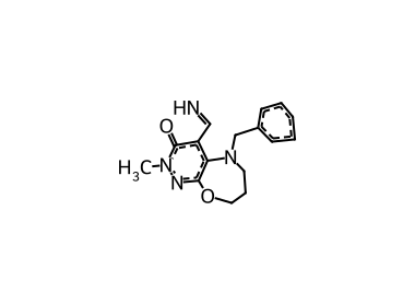 Cn1nc2c(c(C=N)c1=O)N(Cc1ccccc1)CCCO2